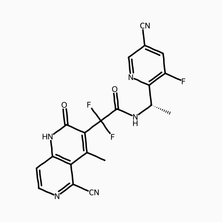 Cc1c(C(F)(F)C(=O)N[C@@H](C)c2ncc(C#N)cc2F)c(=O)[nH]c2ccnc(C#N)c12